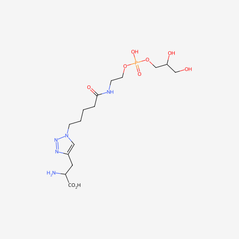 NC(Cc1cn(CCCCC(=O)NCCOP(=O)(O)OCC(O)CO)nn1)C(=O)O